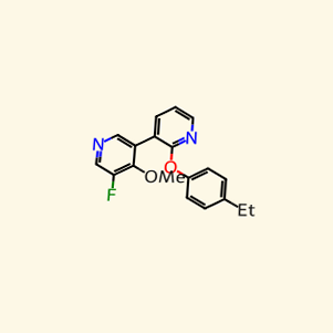 CCc1ccc(Oc2ncccc2-c2cncc(F)c2OC)cc1